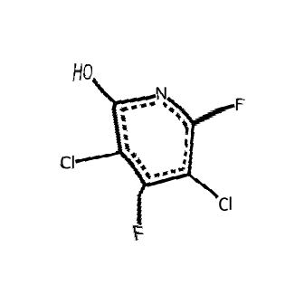 Oc1nc(F)c(Cl)c(F)c1Cl